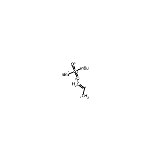 C=CC.CCCCS(=O)(=O)CCCC